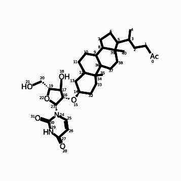 CC(=O)CCC(C)C1CCC2C3CCC4C[C@H](O[C@H]5C(O)[C@@H](CO)O[C@H]5n5ccc(=O)[nH]c5=O)CCC4(C)C3CCC12C